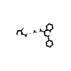 Cc1ccoc1C(=O)NNC(=S)NC(=O)c1cc(-c2ccccc2)nc2ccccc12